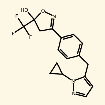 OC1(C(F)(F)F)CC(c2ccc(Cc3ccnn3C3CC3)cc2)=NO1